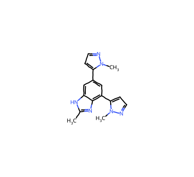 Cc1nc2c(-c3ccnn3C)cc(-c3ccnn3C)cc2[nH]1